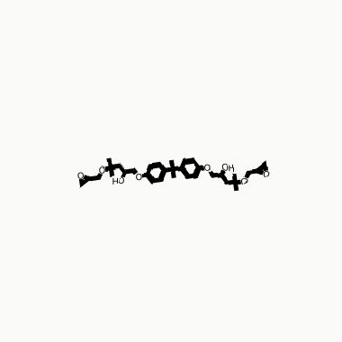 CC(C)(CC(O)COc1ccc(C(C)(C)c2ccc(OCC(O)CC(C)(C)OCC3CO3)cc2)cc1)OCC1CO1